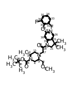 COC[C@H]1CN(C(=O)OC(C)(C)C)[C@H](C)CN1CC(=O)N1CC(C)(C)c2cnc(Oc3c(F)cccc3F)cc21